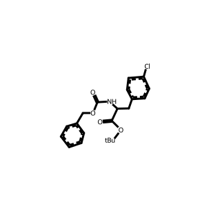 CC(C)(C)OC(=O)C(Cc1ccc(Cl)cc1)NC(=O)OCc1ccccc1